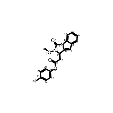 CON1C(=O)n2c(cc3ccccc32)C1CC(=O)Oc1ccc(I)cc1